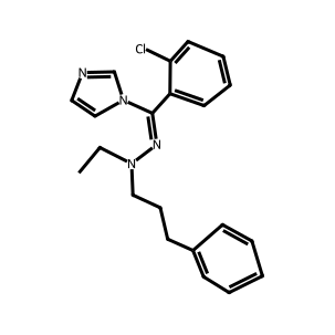 CCN(CCCc1ccccc1)N=C(c1ccccc1Cl)n1ccnc1